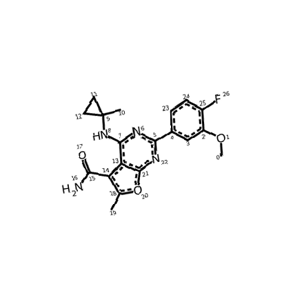 COc1cc(-c2nc(NC3(C)CC3)c3c(C(N)=O)c(C)oc3n2)ccc1F